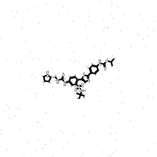 CC(C)OC(=O)Nc1ccc(-c2ncc(-c3ccc(NC(=O)NC[C@@H]4CCCN4)cc3S(=O)(=O)NC(C)(C)C)s2)cc1